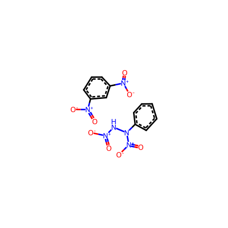 O=[N+]([O-])NN(c1ccccc1)[N+](=O)[O-].O=[N+]([O-])c1cccc([N+](=O)[O-])c1